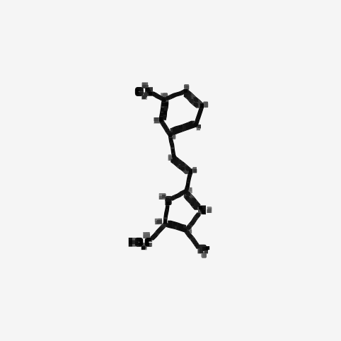 CC(C)c1nc(/C=C/c2cccc([N+](=O)[O-])c2)sc1C(=O)O